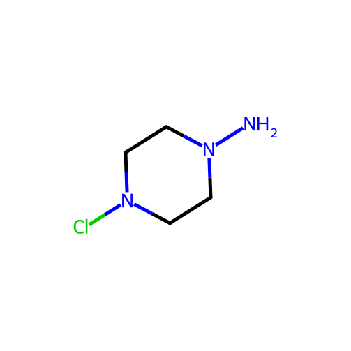 NN1CCN(Cl)CC1